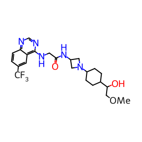 COCC(O)C1CCC(N2CC(NC(=O)CNc3ncnc4ccc(C(F)(F)F)cc34)C2)CC1